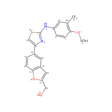 CCCCCCCCOc1ccc(Nc2nc(-c3ccc4oc(CO)cc4c3)cs2)cc1C(F)(F)F